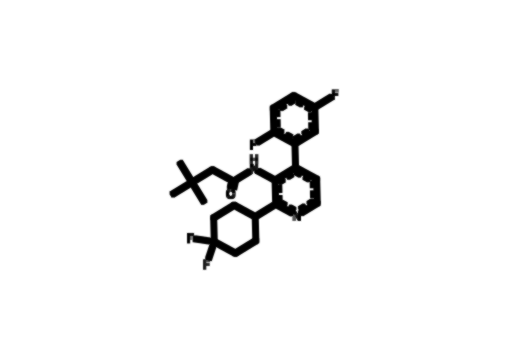 CC(C)(C)CC(=O)Nc1c(-c2cc(F)ccc2F)ccnc1C1CCC(F)(F)CC1